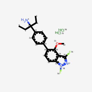 CCC(N)(CC)c1ccc(-c2ccc3c(c(F)nn3F)c2OC)cc1.Cl.Cl